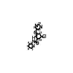 O=C(Nc1ccccn1)c1cc(Cl)cc(Oc2cncnc2)c1